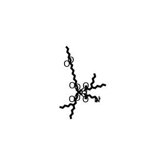 CCCCCOC(=O)CCCCCCCC(=O)OCC(COC(=O)CCCN(C)C)(COC(=O)CC(CCCCC)CCCCC)COC(=O)CC(CCCCC)CCCCC